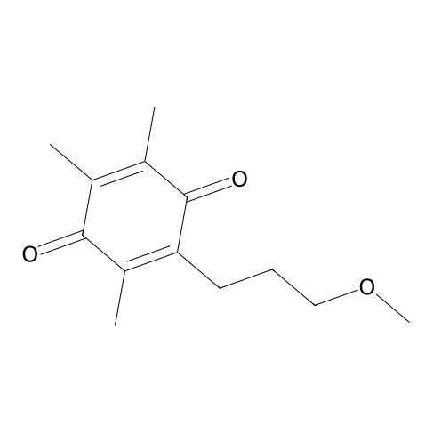 COCCCC1=C(C)C(=O)C(C)=C(C)C1=O